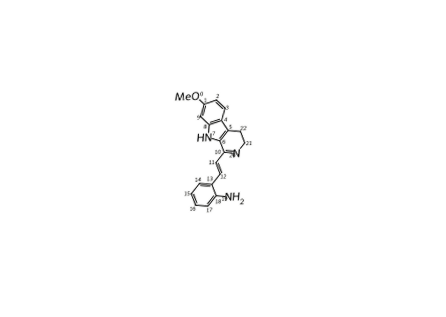 COc1ccc2c3c([nH]c2c1)C(/C=C/c1ccccc1N)=NCC3